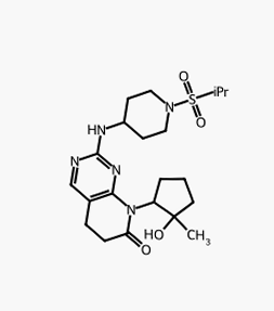 CC(C)S(=O)(=O)N1CCC(Nc2ncc3c(n2)N(C2CCCC2(C)O)C(=O)CC3)CC1